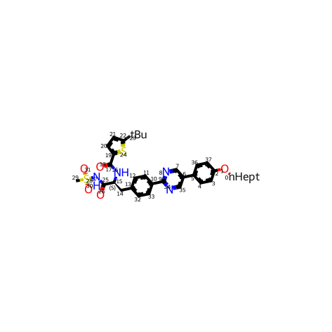 CCCCCCCOc1ccc(-c2cnc(-c3ccc(C[C@H](NC(=O)c4ccc(C(C)(C)C)s4)C(=O)NS(C)(=O)=O)cc3)nc2)cc1